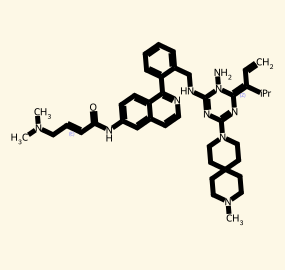 C=C/C(=C1/N=C(N2CCC3(CCN(C)CC3)CC2)N=C(NCc2ccccc2-c2nccc3cc(NC(=O)/C=C/CN(C)C)ccc23)N1N)C(C)C